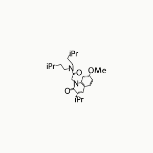 COc1ccc2cc(C(C)C)c(=O)n(CC(=O)N(CCC(C)C)CCC(C)C)c2c1